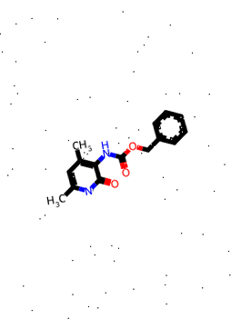 CC1=CC(C)=C(NC(=O)OCc2ccccc2)C(=O)[N]1